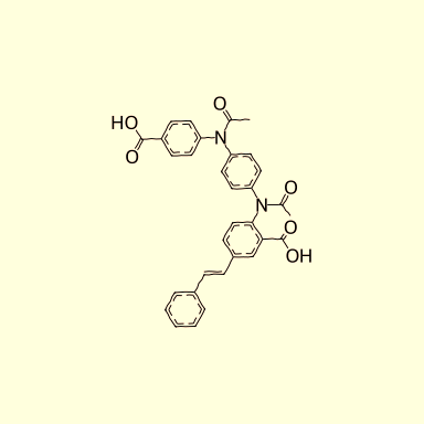 CC(=O)N(c1ccc(C(=O)O)cc1)c1ccc(N(C(C)=O)c2ccc(C=Cc3ccccc3)cc2C(=O)O)cc1